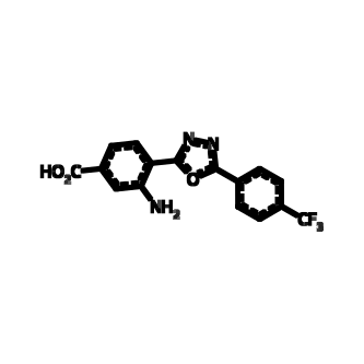 Nc1cc(C(=O)O)ccc1-c1nnc(-c2ccc(C(F)(F)F)cc2)o1